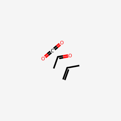 C=CC.CC=O.O=C=O